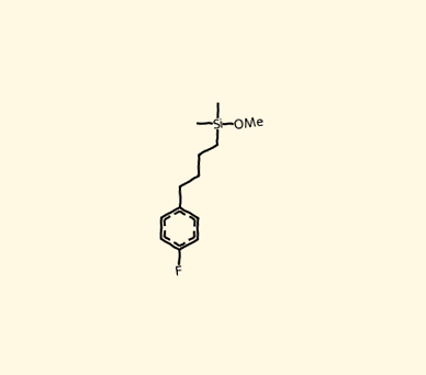 CO[Si](C)(C)CCCCc1ccc(F)cc1